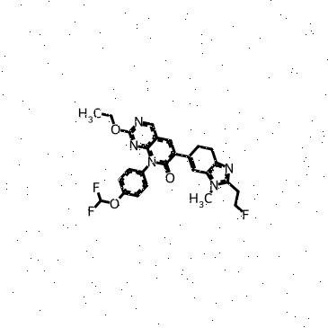 CCOc1ncc2cc(C3=Cc4c(nc(CCF)n4C)CC3)c(=O)n(-c3ccc(OC(F)F)cc3)c2n1